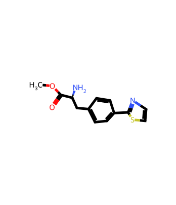 COC(=O)[C@@H](N)Cc1ccc(-c2nccs2)cc1